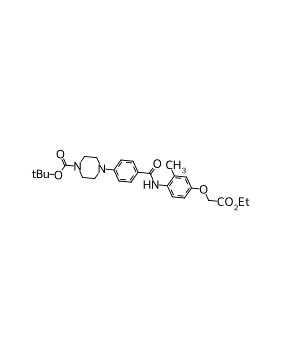 CCOC(=O)COc1ccc(NC(=O)c2ccc(N3CCN(C(=O)OC(C)(C)C)CC3)cc2)c(C)c1